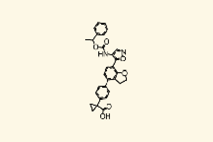 CC(OC(=O)Nc1cnoc1-c1ccc(-c2ccc(C3(C(=O)O)CC3)cc2)c2c1OCC2)c1ccccc1